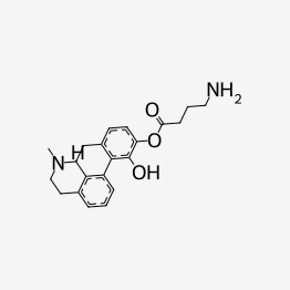 CN1CCc2cccc3c2[C@H]1Cc1ccc(OC(=O)CCCN)c(O)c1-3